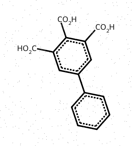 O=C(O)c1cc(-c2ccccc2)cc(C(=O)O)c1C(=O)O